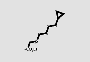 CCOC(=O)CSCCCCC1CC1